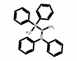 CN([SiH](c1ccccc1)c1ccccc1)[Si](C)(c1ccccc1)c1ccccc1